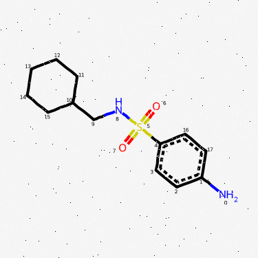 Nc1ccc(S(=O)(=O)NCC2CCCCC2)cc1